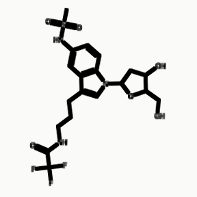 CS(=O)(=O)Nc1ccc2c(c1)c(CCCNC(=O)C(F)(F)F)cn2C1CC(O)C(CO)O1